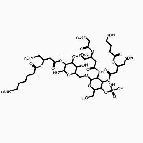 CCCCCCCCCCCCCCCC(=O)OC(CCCCCCCCCCC)CC(=O)NC1C(O)OC(COC2OC(CO)C(OP(=O)(O)O)C(OC(=O)CC(CCCCCCCCCCC)OC(=O)CCCCCCCCCCCCC)C2NC(=O)CC(CCCCCCCCCCC)OC(=O)CCCCCCCCCCC)C(O)C1O